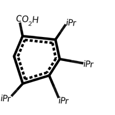 CC(C)c1cc(C(=O)O)c(C(C)C)c(C(C)C)c1C(C)C